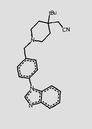 CC(C)(C)C1(CC#N)CCN(Cc2ccc(-n3cnc4ccccc43)cc2)CC1